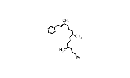 C/C(=C\Cc1ccccc1)CCCC(C)CCCC(C)CCCC(C)C